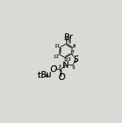 CC(C)(C)OC(=O)N1CSc2cc(Br)ccc21